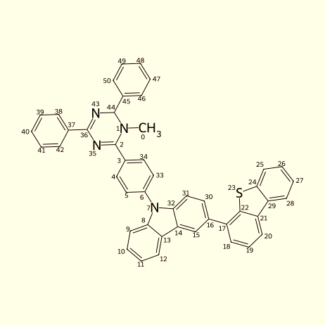 CN1C(c2ccc(-n3c4ccccc4c4cc(-c5cccc6c5sc5ccccc56)ccc43)cc2)=NC(c2ccccc2)=NC1c1ccccc1